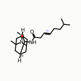 CON1C2C[C@@H]3CC1(C)C[C@H](C2)C3NC(=O)C/C=C/CCC(C)C